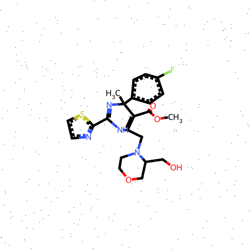 COC(=O)C1=C(CN2CCOCC2CO)NC(c2nccs2)=NC1(C)c1ccc(F)cc1